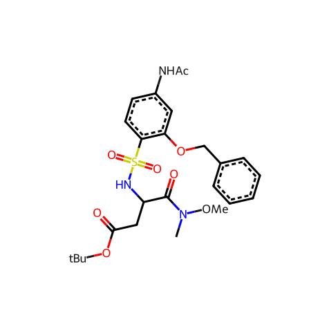 CON(C)C(=O)C(CC(=O)OC(C)(C)C)NS(=O)(=O)c1ccc(NC(C)=O)cc1OCc1ccccc1